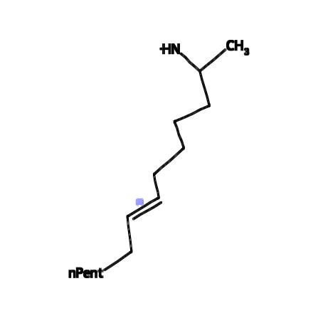 CCCCCC/C=C/CCCCC(C)[NH]